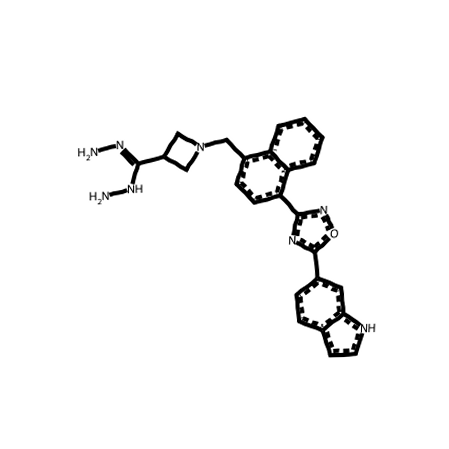 N/N=C(\NN)C1CN(Cc2ccc(-c3noc(-c4ccc5cc[nH]c5c4)n3)c3ccccc23)C1